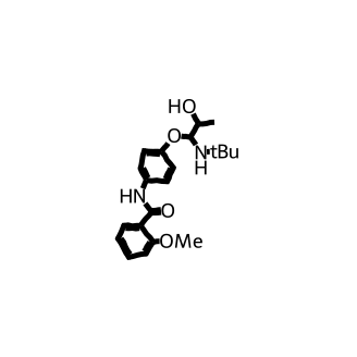 COc1ccccc1C(=O)Nc1ccc(OC(NC(C)(C)C)C(C)O)cc1